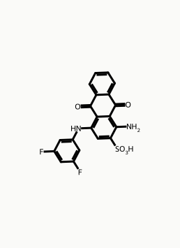 Nc1c(S(=O)(=O)O)cc(Nc2cc(F)cc(F)c2)c2c1C(=O)c1ccccc1C2=O